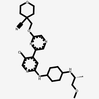 COC[C@@H](C)NC1CCC(Nc2cc(-c3cncc(OCC4(C#N)CCOCC4)n3)c(Cl)cn2)CC1